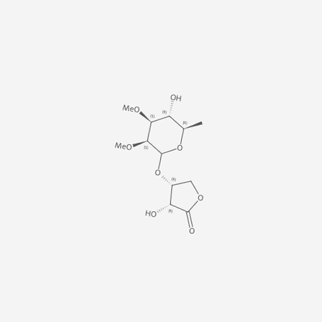 CO[C@H]1[C@H](O)[C@@H](C)OC(O[C@@H]2COC(=O)[C@@H]2O)[C@H]1OC